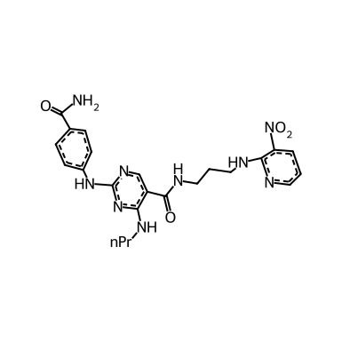 CCCNc1nc(Nc2ccc(C(N)=O)cc2)ncc1C(=O)NCCCNc1ncccc1[N+](=O)[O-]